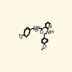 COc1ccc(CNc2ncccc2C(=O)NOCc2ccc(OC)cc2)cc1